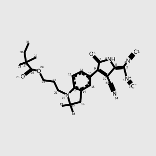 [C-]#[N+]C([N+]#[C-])=C1NC(=O)C(c2ccc3c(c2)CC(C)(C)N3CCCOC(=O)C(C)(C)CC)=C1C#N